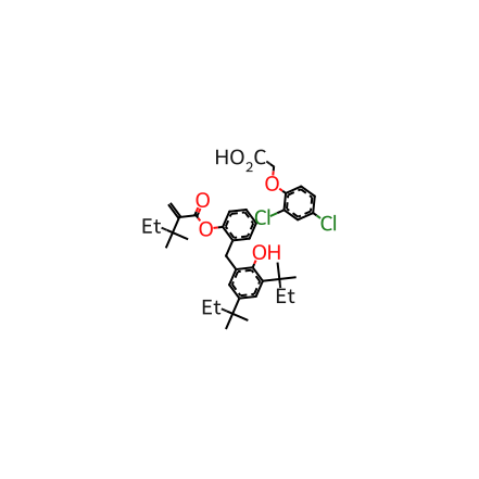 C=C(C(=O)Oc1ccccc1Cc1cc(C(C)(C)CC)cc(C(C)(C)CC)c1O)C(C)(C)CC.O=C(O)COc1ccc(Cl)cc1Cl